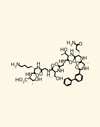 C[C@H](NC(=O)c1cccc(-c2ccccc2)c1)C(=O)N[C@@H](CCC(N)=O)C(=O)N[C@H](C(=O)NCC(=O)N[C@H](C(=O)NCC(=O)N[C@@H](CCCCN)C(=O)N[C@H](C(=O)O)[C@@H](C)O)[C@@H](C)O)[C@@H](C)O